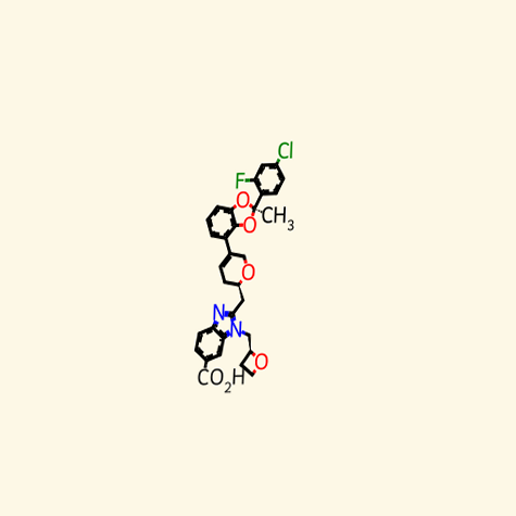 C[C@@]1(c2ccc(Cl)cc2F)Oc2cccc(C3=CC[C@H](Cc4nc5ccc(C(=O)O)cc5n4C[C@@H]4CCO4)OC3)c2O1